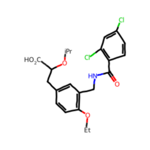 CCOc1ccc(CC(OC(C)C)C(=O)O)cc1CNC(=O)c1ccc(Cl)cc1Cl